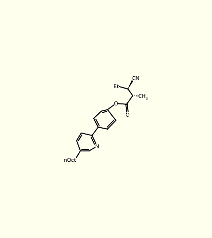 CCCCCCCCc1ccc(-c2ccc(OC(=O)[C@@H](C)[C@H](C#N)CC)cc2)nc1